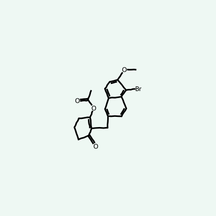 COc1ccc2cc(CC3=C(OC(C)=O)CCCC3=O)ccc2c1Br